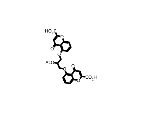 CC(=O)OC(COc1cccc2oc(C(=O)O)cc(=O)c12)COc1cccc2oc(C(=O)O)cc(=O)c12